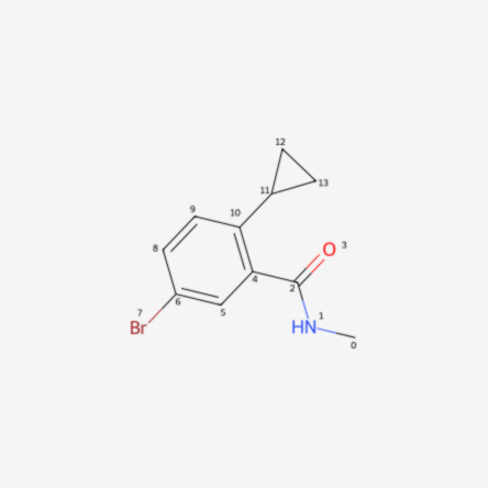 CNC(=O)c1cc(Br)ccc1C1CC1